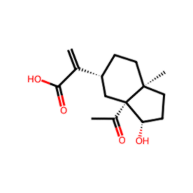 C=C(C(=O)O)[C@@H]1CC[C@@]2(C)CC[C@H](O)[C@@]2(C(C)=O)C1